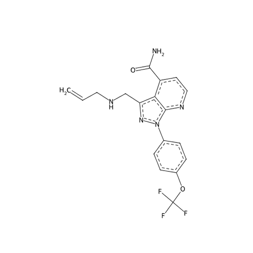 C=CCNCc1nn(-c2ccc(OC(F)(F)F)cc2)c2nccc(C(N)=O)c12